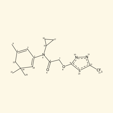 CC1=CC(N(C(=O)COc2nnc(C(F)(F)F)s2)C2CC2)=CC(C)(C)C1